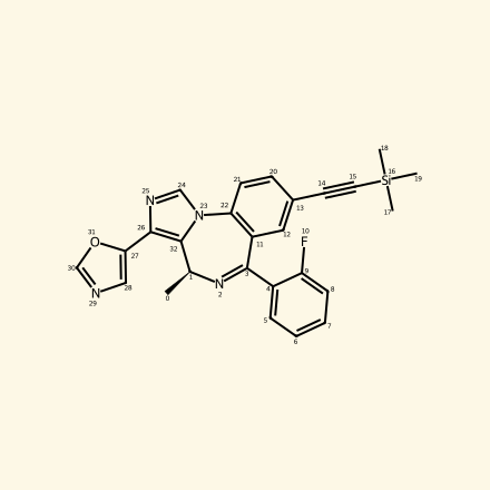 C[C@@H]1N=C(c2ccccc2F)c2cc(C#C[Si](C)(C)C)ccc2-n2cnc(-c3cnco3)c21